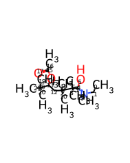 CCN(C)C(O)C(C)(C)C(C)(C)CC(OC(C)=O)C(C)(C)C